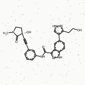 CN1CC[C@@](O)(C#Cc2cccc(NC(=O)c3n[nH]c4ccc(-c5c[nH]nc5CCO)cc34)c2)C1=O